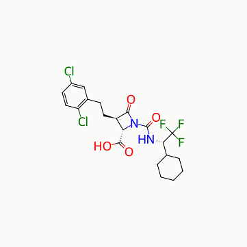 O=C(O)[C@@H]1[C@@H](CCc2cc(Cl)ccc2Cl)C(=O)N1C(=O)N[C@@H](C1CCCCC1)C(F)(F)F